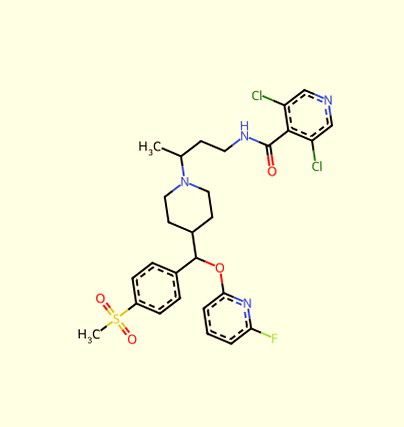 CC(CCNC(=O)c1c(Cl)cncc1Cl)N1CCC(C(Oc2cccc(F)n2)c2ccc(S(C)(=O)=O)cc2)CC1